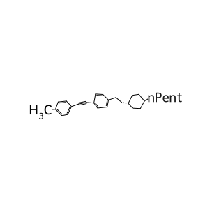 CCCCC[C@H]1CC[C@H](CCc2ccc(C#Cc3ccc(C)cc3)cc2)CC1